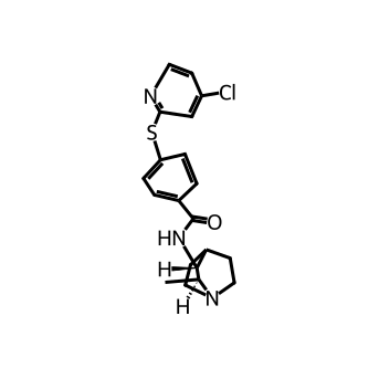 C[C@H]1[C@H](NC(=O)c2ccc(Sc3cc(Cl)ccn3)cc2)C2CCN1CC2